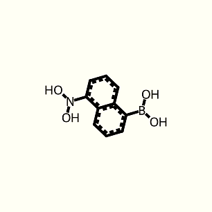 OB(O)c1cccc2c(N(O)O)cccc12